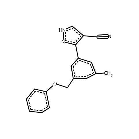 Cc1cc(COc2ccccc2)cc(-c2n[nH]cc2C#N)c1